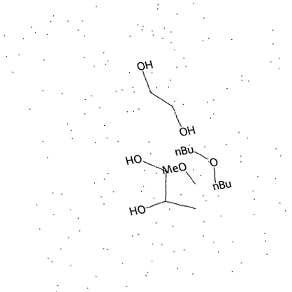 CC(O)CO.CCCCOCCCC.COC.OCCO